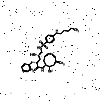 C=C1/C=C\C=C/C[C@H](NC(=C)[C@H](Cc2ccccc2)C[C@H](O)CNS(=O)(=O)c2ccc(NCCCCC)cc2)[C@H](O)C1